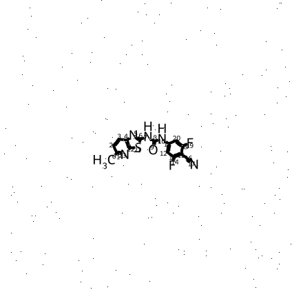 Cc1ccc2nc(NC(=O)Nc3cc(F)c(C#N)c(F)c3)sc2n1